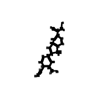 COC(=O)c1ccc2[nH]c(-c3ccc(C#N)c(OC)c3)cc2c1